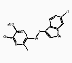 COc1cc(NSc2c[nH]c3cc(Cl)ccc23)c(F)nc1Cl